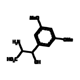 COc1cc(OC)cc(C(O)C(N)C(=O)O)c1